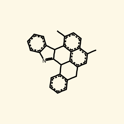 Cc1ccc2c(C)cc3c4c2c1C1C(=Nc2ccccc21)C4c1ccccc1C3